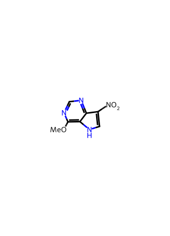 COc1ncnc2c([N+](=O)[O-])c[nH]c12